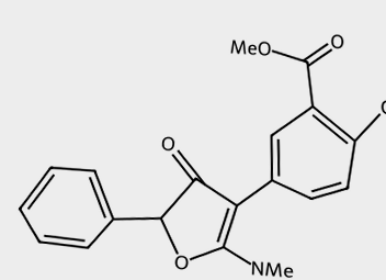 CNC1=C(c2ccc(Cl)c(C(=O)OC)c2)C(=O)C(c2ccccc2)O1